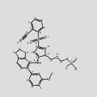 COc1cc(-c2ccc3c(c2Nc2nc(S(=O)(=O)c4ccccc4C#N)nn2COCC[Si](C)(C)C)CCC3)ccn1